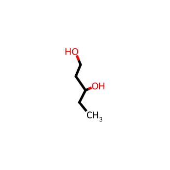 CCC(O)CCO